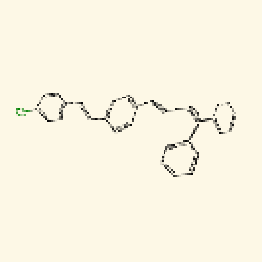 Clc1ccc(C=Cc2ccc(C=CC=C(c3ccccc3)c3ccccc3)cc2)cc1